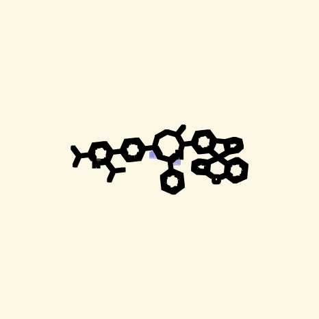 CC(C)c1ccc(-c2ccc(/C3=C/C(c4ccccc4)=N\C(c4ccc5c(c4)C4(c6ccccc6Oc6ccccc64)c4ccccc4-5)C(C)CC3)cc2)c(C(C)C)n1